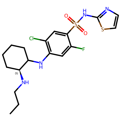 CCCN[C@H]1CCCCC1Nc1cc(F)c(S(=O)(=O)Nc2nccs2)cc1Cl